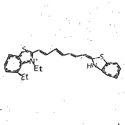 CCc1cccc2sc(C=CC=CC=CC=C3Nc4ccccc4S3)[n+](CC)c12